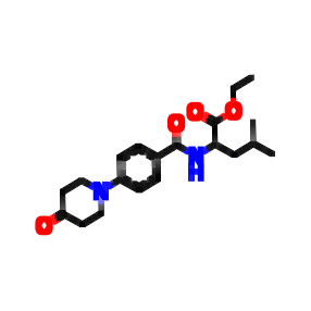 CCOC(=O)C(CC(C)C)NC(=O)c1ccc(N2CCC(=O)CC2)cc1